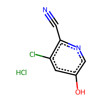 Cl.N#Cc1ncc(O)cc1Cl